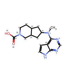 CN(c1ncnc2[nH]ccc12)C1CC2CCN(C(=O)O)CC2C1